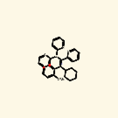 COc1ccccc1/C(=C(\B(c1ccccn1)c1ccccn1)c1ccccn1)C1CCCCC1